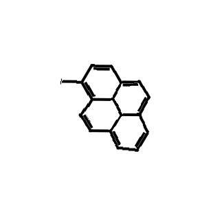 IC1=C2C=CC3=CC=CC4=CC=C(C=C1)C2C34